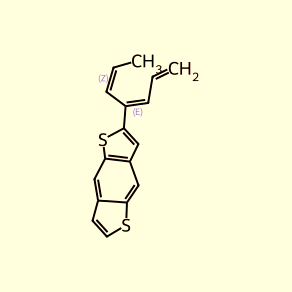 C=C/C=C(\C=C/C)c1cc2cc3sccc3cc2s1